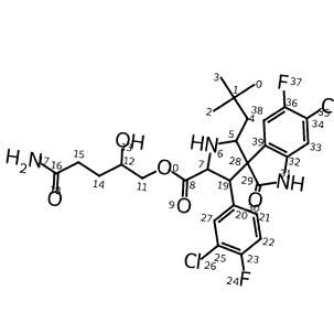 CC(C)(C)CC1NC(C(=O)OCC(O)CCC(N)=O)C(c2ccc(F)c(Cl)c2)C12C(=O)Nc1cc(Cl)c(F)cc12